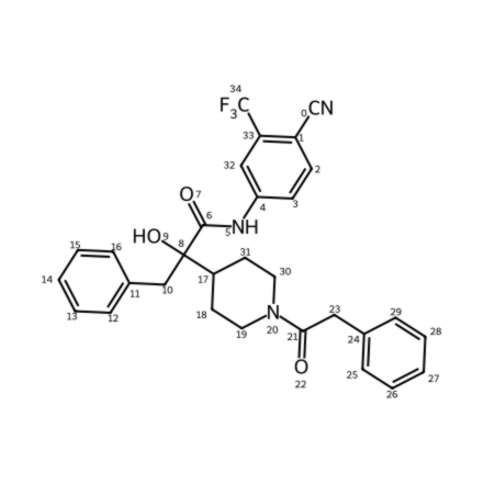 N#Cc1ccc(NC(=O)C(O)(Cc2ccccc2)C2CCN(C(=O)Cc3ccccc3)CC2)cc1C(F)(F)F